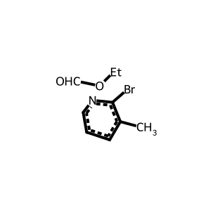 CCOC=O.Cc1cccnc1Br